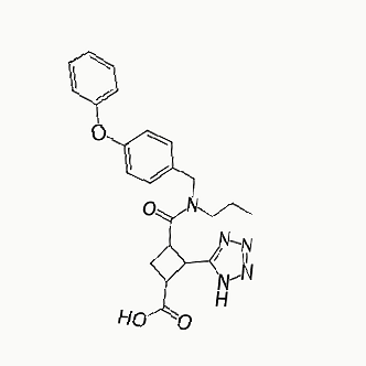 CCCN(Cc1ccc(Oc2ccccc2)cc1)C(=O)C1CC(C(=O)O)C1c1nnn[nH]1